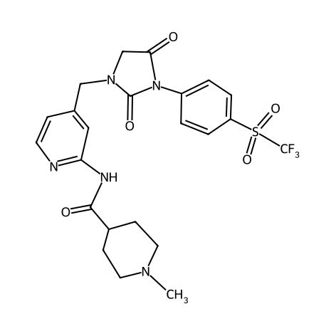 CN1CCC(C(=O)Nc2cc(CN3CC(=O)N(c4ccc(S(=O)(=O)C(F)(F)F)cc4)C3=O)ccn2)CC1